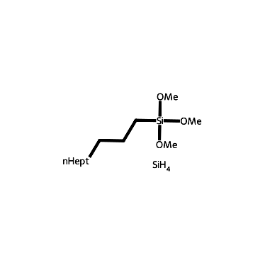 CCCCCCCCCC[Si](OC)(OC)OC.[SiH4]